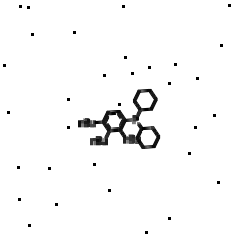 CCCCc1ccc(P(C2CCCCC2)C2CCCCC2)c(CCCC)c1CCCC